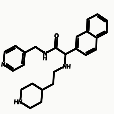 O=C(NCc1ccncc1)C(NCCC1CCNCC1)c1ccc2ccccc2c1